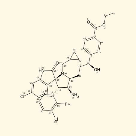 CCOC(=O)c1ccc([C@@H](O)CC[C@H]2[C@@H](N)[C@H](c3cccc(Cl)c3F)[C@]3(C(=O)Nc4cc(Cl)ccc43)N2CC2CC2)cc1